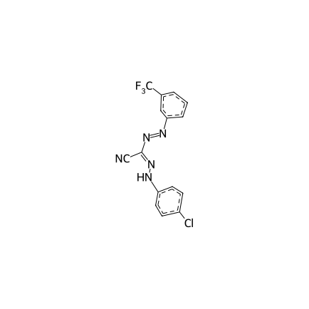 N#CC(N=Nc1cccc(C(F)(F)F)c1)=NNc1ccc(Cl)cc1